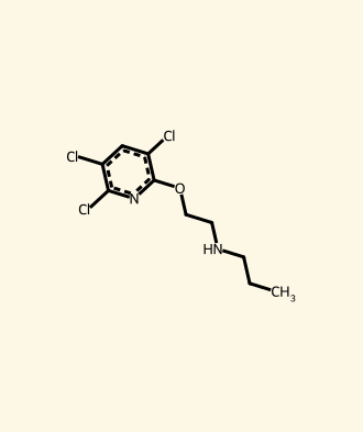 CCCNCCOc1nc(Cl)c(Cl)cc1Cl